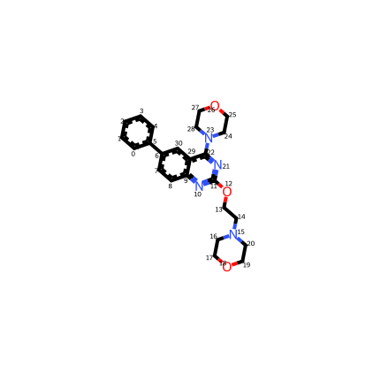 [c]1ccccc1-c1ccc2nc(OCCN3CCOCC3)nc(N3CCOCC3)c2c1